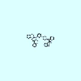 c1ccc(-c2nc3ccccc3n2-c2ccc(-c3cccc(-c4c5c(nc6c4CCc4ccccc4-6)-c4ccccc4CC5)c3)cc2)nc1